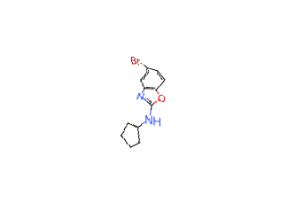 Brc1ccc2oc(NC3CCCC3)nc2c1